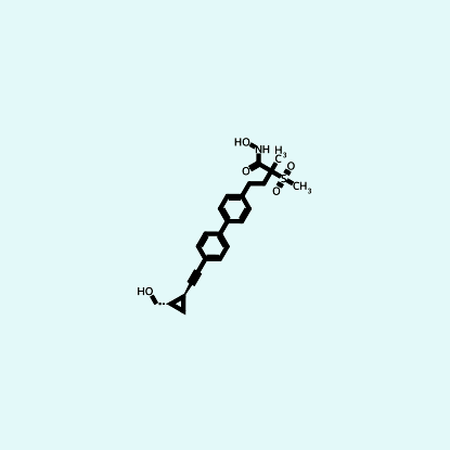 CC(CCc1ccc(-c2ccc(C#C[C@H]3C[C@@H]3CO)cc2)cc1)(C(=O)NO)S(C)(=O)=O